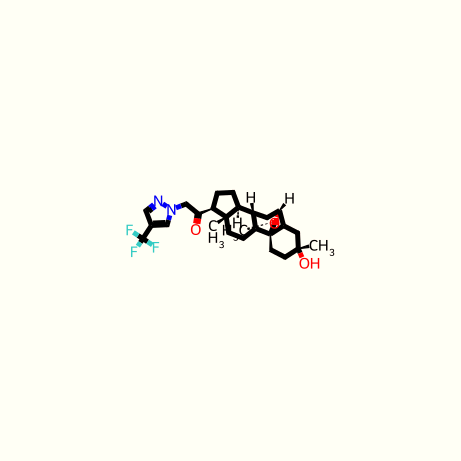 C[C@H]1O[C@@H]2C[C@@H]3C(CC[C@]4(C)[C@@H](C(=O)Cn5cc(C(F)(F)F)cn5)CC[C@@H]34)[C@]13CC[C@@](C)(O)CC23